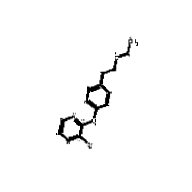 CCOCCc1ccc(Oc2ncccc2Br)cc1